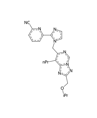 CCCc1c(Cn2ccnc2-c2cccc(C#N)n2)ncn2nc(COC(C)C)nc12